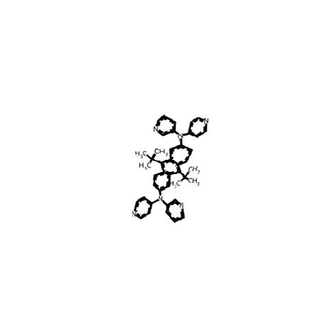 CC(C)(C)c1c2ccc(N(c3ccncc3)c3cccnc3)cc2c(C(C)(C)C)c2ccc(N(c3ccncc3)c3cccnc3)cc12